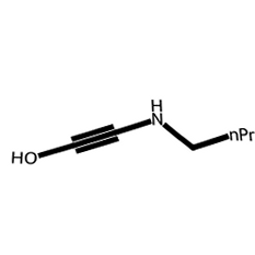 CCCCNC#CO